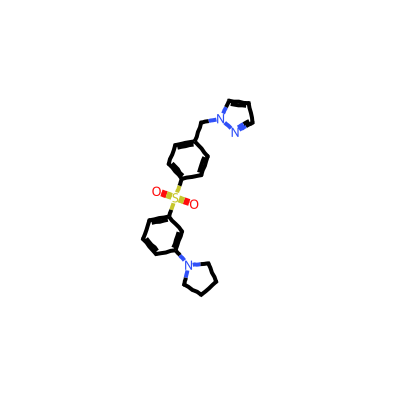 O=S(=O)(c1ccc(Cn2cccn2)cc1)c1cccc(N2CCCC2)c1